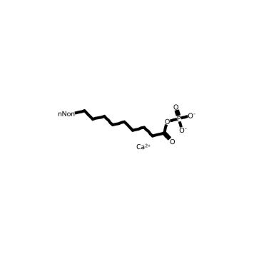 CCCCCCCCCCCCCCCCCC(=O)OP(=O)([O-])[O-].[Ca+2]